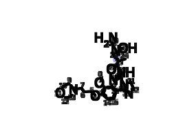 COc1c(OCCCN2CCOCC2)ccc2c1N=C(NC(=O)/C(C)=C/N(O)CN)N1CCN=C21